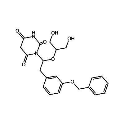 O=C1CC(=O)N(C(Cc2cccc(OCc3ccccc3)c2)OC(CO)CO)C(=O)N1